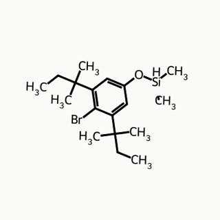 CCC(C)(C)c1cc(O[SiH](C)C)cc(C(C)(C)CC)c1Br